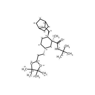 CC(C)(C)NC(=O)[C@@]1(C)C[C@H](CCB2OC(C)(C)C(C)(C)O2)CC[C@H]1CN1C2CCC1CC2